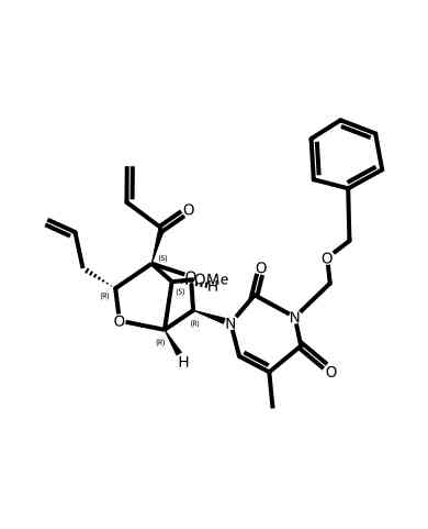 C=CC[C@H]1O[C@H]2[C@H](n3cc(C)c(=O)n(COCc4ccccc4)c3=O)O[C@]1(C(=O)C=C)[C@H]2OC